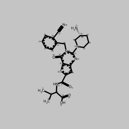 CC(C)C(NC(=O)c1cc2nc(N3CCC[C@@H](N)C3)n(Cc3ccccc3C#N)c(=O)c2s1)C(=O)O